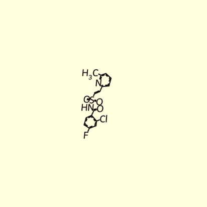 Cc1cccc(C=CS(=O)(=O)NC(=O)c2ccc(F)cc2Cl)n1